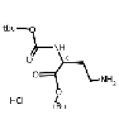 CC(C)(C)OC(=O)N[C@@H](CCN)C(=O)OC(C)(C)C.Cl